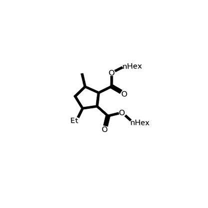 CCCCCCOC(=O)C1C(C)CC(CC)C1C(=O)OCCCCCC